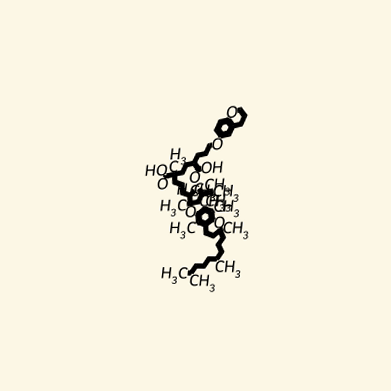 Cc1c(C)c2c(c(C)c1OC(C)(CC(C)C(C)(C)C)C(C)CCCC(C)(CCC(CCCOc1ccc3c(c1)CCCO3)C(=O)O)C(=O)O)CCC(C)(CCCC(C)CCCC(C)C)O2